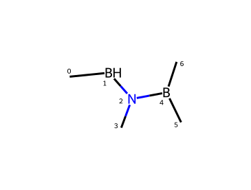 CBN(C)B(C)C